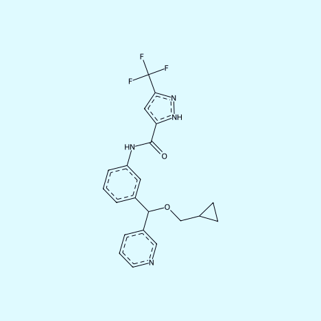 O=C(Nc1cccc(C(OCC2CC2)c2cccnc2)c1)c1cc(C(F)(F)F)n[nH]1